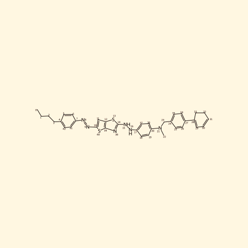 CCCCc1ccc(N=Nc2cc3sc(NNc4ccc(N(C)Cc5ccc(C6=CC=CCC6)cc5)cc4)nc3s2)cc1